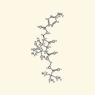 CC(C)(C)C(=O)OCOC(=O)[C@@H]1N2C(=O)[C@H](COC(=O)c3ccc(N)cc3)[C@H]2S(=O)(=O)C1(C)C